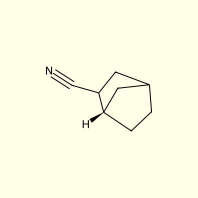 N#CC1CC2CC[C@H]1C2